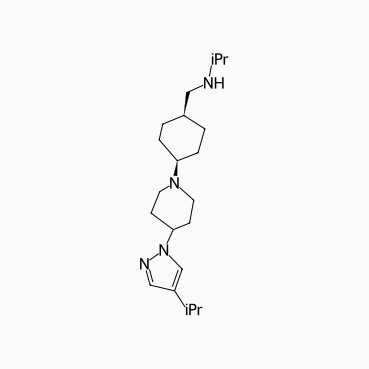 CC(C)NC[C@H]1CC[C@@H](N2CCC(n3cc(C(C)C)cn3)CC2)CC1